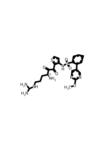 COc1ncc(-c2ccccc2S(=O)(=O)Nc2ccsc2C(=O)C(=O)[C@@H](N)CCCNC(N)N)cn1